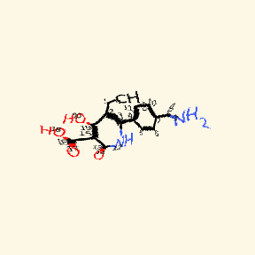 CCc1c(-c2ccc(CN)cc2)[nH]c(=O)c(C(=O)O)c1O